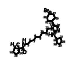 CC1(C(=O)NCCCCCCCCn2c(C3CCC(Br)CC3)cnc2NC2CCCC2)CCCC1